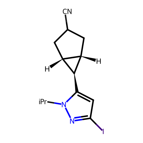 CC(C)n1nc(I)cc1[C@H]1[C@@H]2CC(C#N)C[C@@H]21